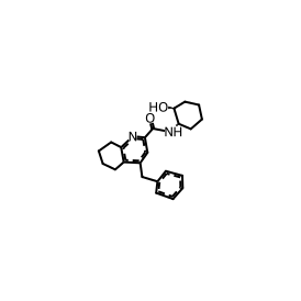 O=C(N[C@H]1CCCC[C@@H]1O)c1cc(Cc2ccccc2)c2c(n1)CCCC2